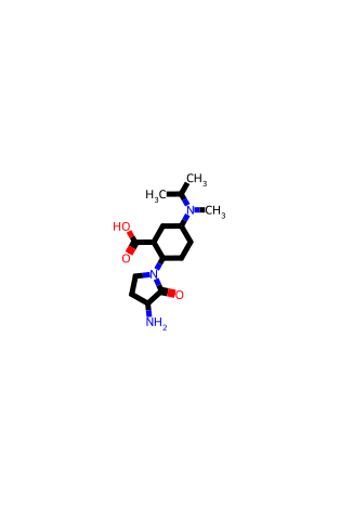 CC(C)N(C)C1CCC(N2CCC(N)C2=O)C(C(=O)O)C1